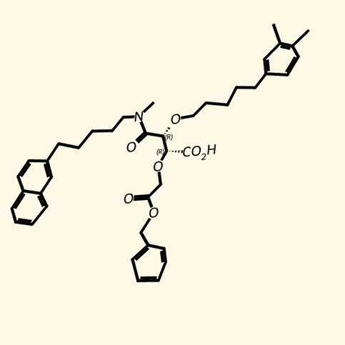 Cc1ccc(CCCCCO[C@@H](C(=O)N(C)CCCCCc2ccc3ccccc3c2)[C@@H](OCC(=O)OCc2ccccc2)C(=O)O)cc1C